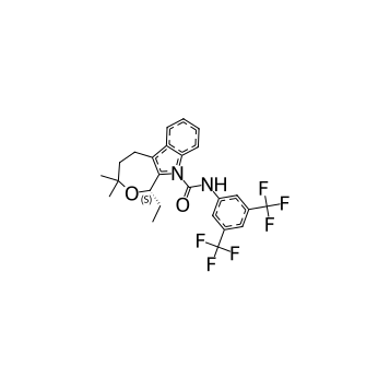 CC[C@@H]1OC(C)(C)CCc2c1n(C(=O)Nc1cc(C(F)(F)F)cc(C(F)(F)F)c1)c1ccccc21